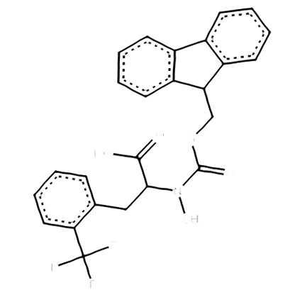 CN(C(=O)OCC1c2ccccc2-c2ccccc21)C(Cc1ccccc1C(F)(F)F)C(=O)O